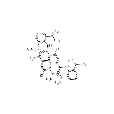 CC(C)c1cccc(C(C)C)c1NC(=O)c1cc(Cl)c(C(=O)Nc2c(C(C)C)cccc2C(C)C)c2c(C(N)=O)cc(Cl)c(C(N)=O)c12